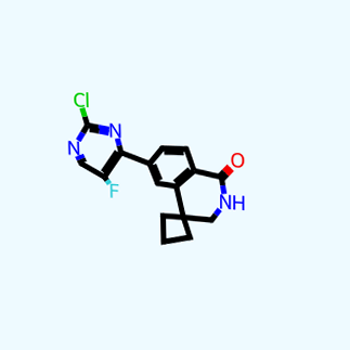 O=C1NCC2(CCC2)c2cc(-c3nc(Cl)ncc3F)ccc21